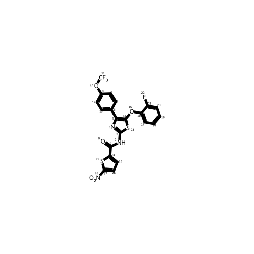 O=C(Nc1nc(-c2ccc(OC(F)(F)F)cc2)c(Oc2ccccc2F)s1)c1ccc([N+](=O)[O-])s1